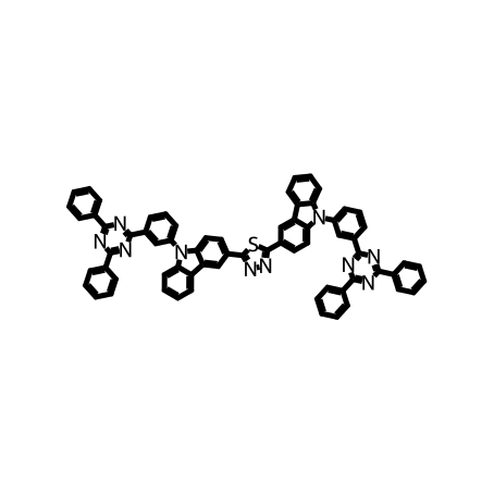 c1ccc(-c2nc(-c3ccccc3)nc(-c3cccc(-n4c5ccccc5c5cc(-c6nnc(-c7ccc8c(c7)c7ccccc7n8-c7cccc(-c8nc(-c9ccccc9)nc(-c9ccccc9)n8)c7)s6)ccc54)c3)n2)cc1